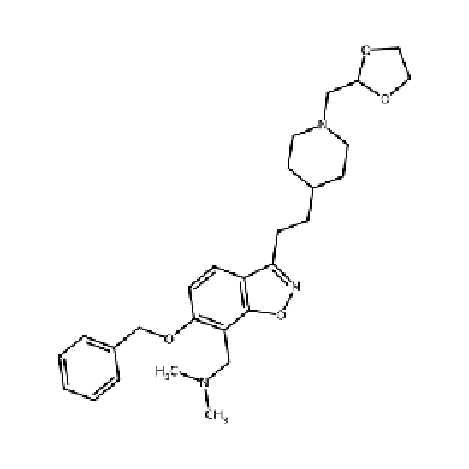 CN(C)Cc1c(OCc2ccccc2)ccc2c(CCC3CCN(CC4OCCO4)CC3)noc12